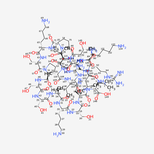 CC(C)C[C@H](NC(=O)[C@H](CCCNC(=N)N)NC(=O)[C@H](CO)NC(=O)[C@H](CCCCN)NC(=O)[C@H](C)NC(=O)[C@H](CO)NC(=O)[C@H](CO)NC(=O)[C@@H]1CCCN1C(=O)[C@H](CO)NC(=O)[C@H](CCCCN)NC(=O)[C@@H]1CCCN1C(=O)[C@@H]1CCCN1C(=O)[C@@H](NC(=O)[C@H](CCCNC(=N)N)NC(=O)[C@@H](NC(=O)[C@@H](NC(=O)[C@H](C)NC(=O)[C@@H](NC(=O)[C@H](CCCCN)NC(=O)[C@@H](N)CCCCN)C(C)C)C(C)C)C(C)C)[C@@H](C)O)C(=O)O